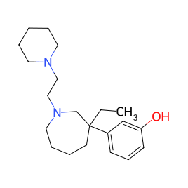 CCC1(c2cccc(O)c2)CCCCN(CCN2CCCCC2)C1